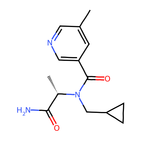 Cc1cncc(C(=O)N(CC2CC2)[C@@H](C)C(N)=O)c1